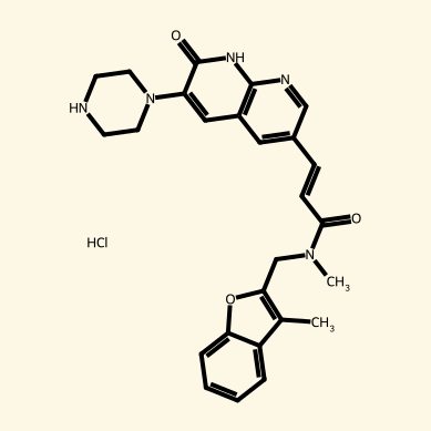 Cc1c(CN(C)C(=O)C=Cc2cnc3[nH]c(=O)c(N4CCNCC4)cc3c2)oc2ccccc12.Cl